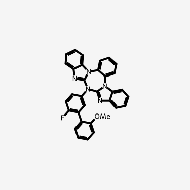 COc1ccccc1-c1cc(-n2c3nc4ccccc4n3c3ccccc3n3c4ccccc4nc23)ccc1F